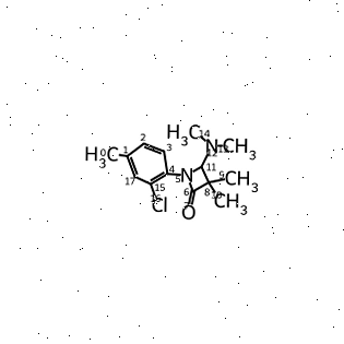 Cc1ccc(N2C(=O)C(C)(C)C2N(C)C)c(Cl)c1